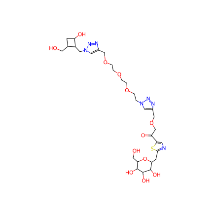 O=C(COCc1cn(CCOCCOCCOCc2cn(CC3C(O)CC3CO)nn2)nn1)c1cnc(CC2OC(CO)C(O)C(O)C2O)s1